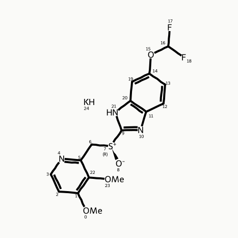 COc1ccnc(C[S@+]([O-])c2nc3ccc(OC(F)F)cc3[nH]2)c1OC.[KH]